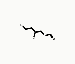 O=COCC(O)CCBr